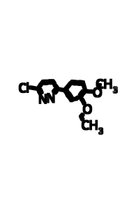 CCOc1cc(-c2ccc(Cl)nn2)ccc1OC